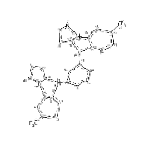 FC(F)(F)c1ccc2c(c1)n1nccc1n2-c1cccc(-n2c3ccc(C(F)(F)F)cc3n3nccc23)c1